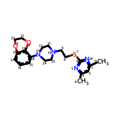 Cc1cc(C)nc(SCCN2CCN(c3cccc4c3OCCO4)CC2)n1